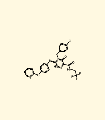 O=C(NCC(F)(F)F)c1n[nH]/c(=N\c2ccc(Oc3ccccn3)cc2)n(Cc2ccc(Cl)cc2)c1=O